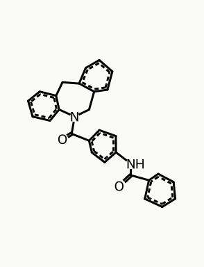 O=C(Nc1ccc(C(=O)N2Cc3ccccc3Cc3ccccc32)cc1)c1ccccc1